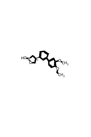 CCOc1ccc(-c2cccc([C@H]3COB(O)C3)c2)cc1OC